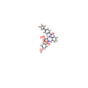 COc1ccc(S(=O)(=O)N2Cc3ccccc3N(C(=O)c3ccc(-c4ccsc4)cc3)CC2C(=O)O)cc1